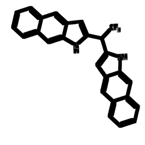 FC(F)(F)C(c1cc2cc3ccccc3cc2[nH]1)c1cc2cc3ccccc3cc2[nH]1